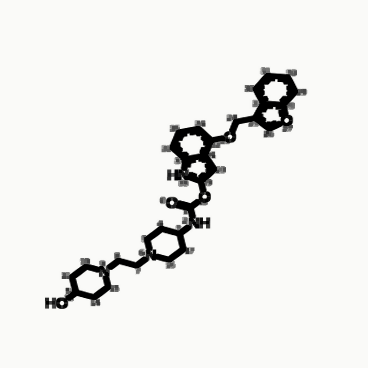 O=C(NC1CCN(CCN2CCC(O)CC2)CC1)Oc1cc2c(OCc3coc4ccccc34)cccc2[nH]1